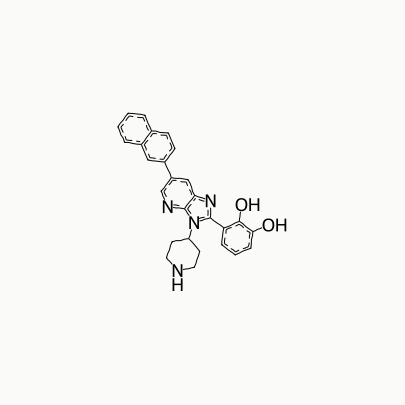 Oc1cccc(-c2nc3cc(-c4ccc5ccccc5c4)cnc3n2C2CCNCC2)c1O